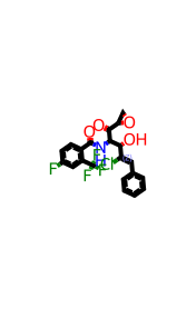 O=C(NC(C(=O)C1CO1)C(O)/C(Cl)=C/c1ccccc1)c1ccc(F)cc1C(F)(F)F